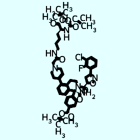 CC(C)(C)OC(=O)N[C@@H](CCCCNC(=O)CN1CC=C(c2cccc3c2CCN(C(=O)[C@H]2CC(c4cccc(Cl)c4F)=NO2)[C@@]3(C(N)=O)c2ccc(C(=O)OC(C)(C)C)cc2)CC1)C(=O)OC(C)(C)C